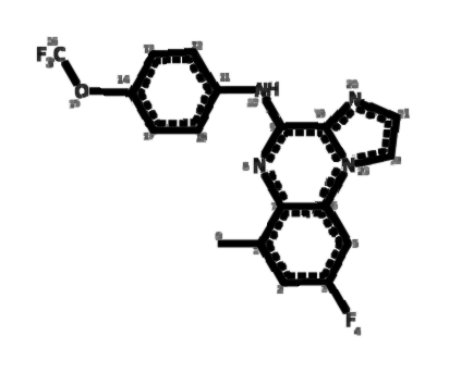 Cc1cc(F)cc2c1nc(Nc1ccc(OC(F)(F)F)cc1)c1nccn12